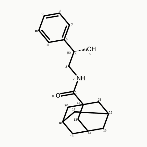 O=C(NC[C@@H](O)c1ccccc1)C12CC3CC(CC(C3)C1)C2